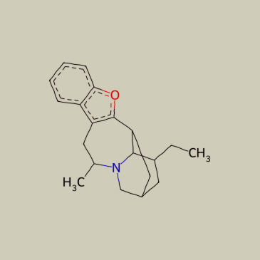 CCC1CC2CC3c4oc5ccccc5c4CC(C)N(C2)C13